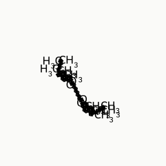 CC(C)CCC[C@@H](C)[C@H]1CCC2C3CC=C4CC(OC(=O)CCCCCCCCC(=O)OC5CC[C@@]6(C)C(=CCC7C6CC[C@@]6(C)C7CC[C@@H]6[C@H](C)CCCC(C)C)C5)CC[C@]4(C)C3CC[C@@]21C